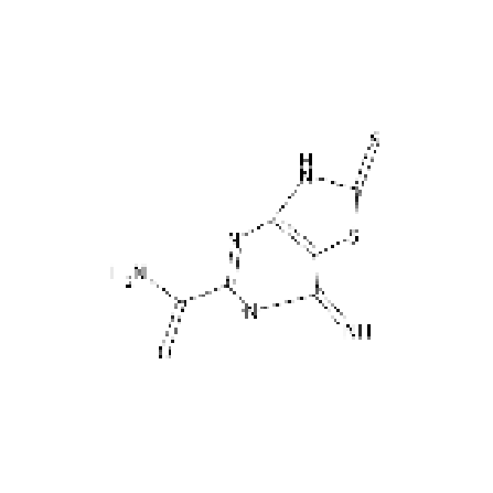 N=C1[N]C(C(N)=O)=Nc2[nH]c(=S)sc21